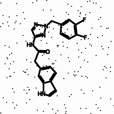 O=C(Cc1ccc2cc[nH]c2c1)Nc1cnn(Cc2ccc(F)c(F)c2)n1